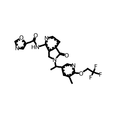 Cc1cc(C(C)N2Cc3c(ccnc3NC(=O)c3cnco3)C2=O)cnc1OCC(F)(F)F